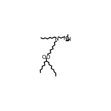 CCCCCCCCC(CCCCCC)C(=O)OCCCCCCCCN(CCCCCCC)CCCn1ccnc1C